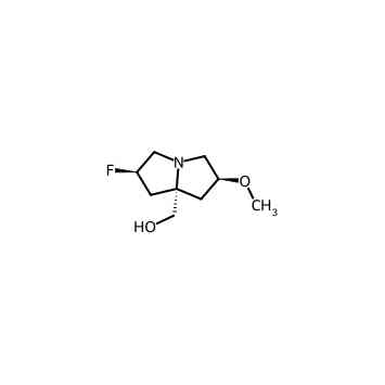 CO[C@@H]1CN2C[C@H](F)C[C@]2(CO)C1